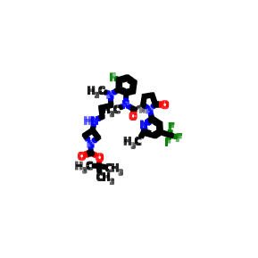 Cc1cc(C(F)(F)F)cc(N2C(=O)CC[C@H]2C(=O)N(C)c2cccc(F)c2N(C)CCCNC2CN(C(=O)OC(C)(C)C)C2)n1